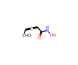 O=[C]C=C=CC(=O)NO